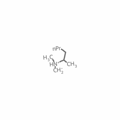 [CH2-][NH+](C)C(C)CCCC